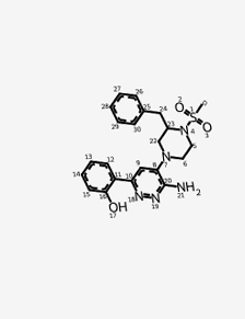 CS(=O)(=O)N1CCN(c2cc(-c3ccccc3O)nnc2N)CC1Cc1ccccc1